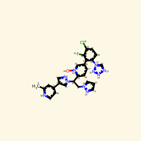 Cc1cc(-c2cnn(C(Cn3cccn3)c3ccc(-c4c(-n5cnnn5)ccc(Cl)c4F)c[n+]3[O-])c2)ccn1